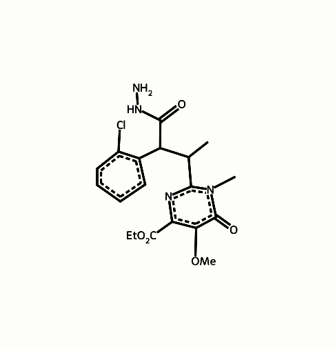 CCOC(=O)c1nc(C(C)C(C(=O)NN)c2ccccc2Cl)n(C)c(=O)c1OC